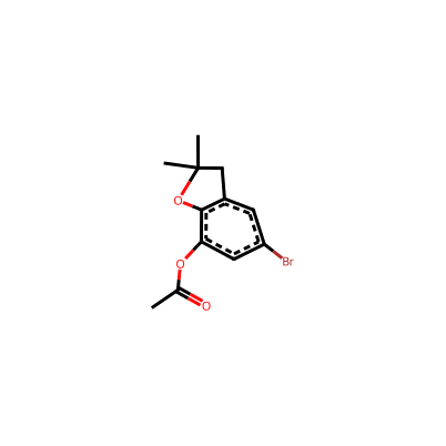 CC(=O)Oc1cc(Br)cc2c1OC(C)(C)C2